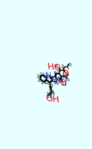 CCCC(=O)C(O)c1cc2n(c(=O)c1CC)Cc1c-2nc2ccccc2c1C#CCCO